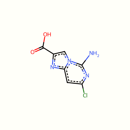 Nc1nc(Cl)cc2nc(C(=O)O)cn12